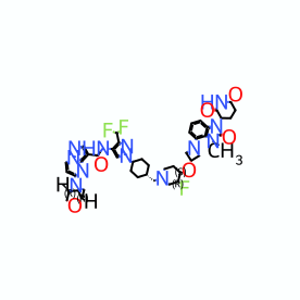 Cn1c(=O)n(C2CCC(=O)NC2=O)c2cccc(N3CC(O[C@H]4CCN(C[C@H]5CC[C@H](n6cc(NC(=O)c7cnn8ccc(N9C[C@H]%10C[C@@H]9CO%10)nc78)c(C(F)F)n6)CC5)C[C@H]4F)C3)c21